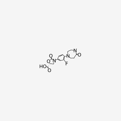 CN1CCN(c2ccc(N3C[C@H](C(=O)O)OC3=O)cc2F)CCC1=O